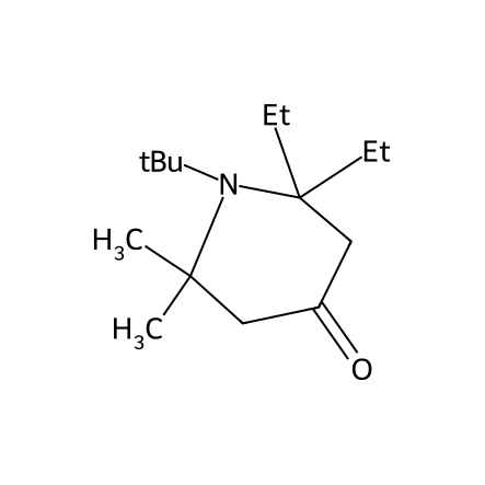 CCC1(CC)CC(=O)CC(C)(C)N1C(C)(C)C